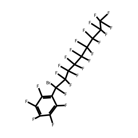 Fc1c(F)c(F)c(C(F)(Br)C(F)(F)C(F)(F)C(F)(F)C(F)(F)C(F)(F)C(F)(F)C(F)(F)C(F)(F)F)c(F)c1F